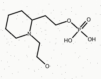 [O]CCN1CCCCC1CCOP(=O)(O)O